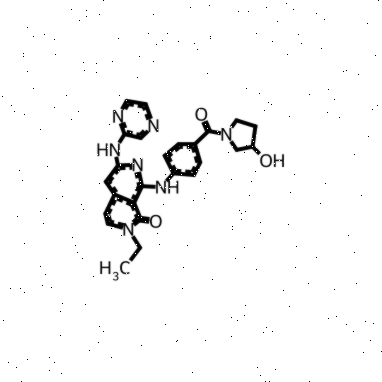 CCn1ccc2cc(Nc3cnccn3)nc(Nc3ccc(C(=O)N4CCC(O)C4)cc3)c2c1=O